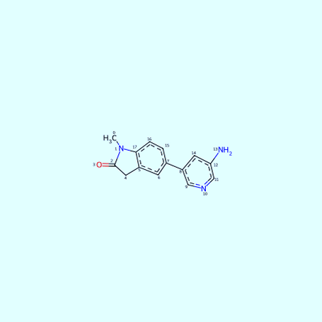 CN1C(=O)Cc2cc(-c3cncc(N)c3)ccc21